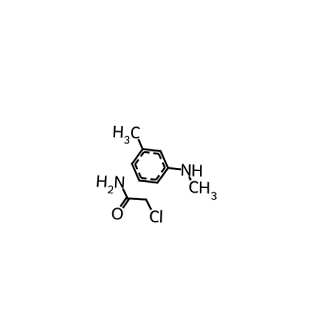 CNc1cccc(C)c1.NC(=O)CCl